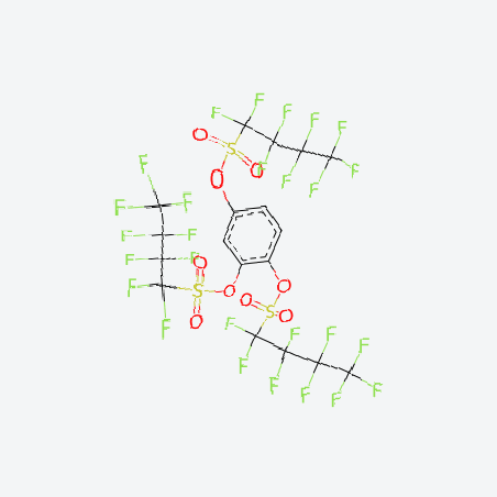 O=S(=O)(Oc1ccc(OS(=O)(=O)C(F)(F)C(F)(F)C(F)(F)C(F)(F)F)c(OS(=O)(=O)C(F)(F)C(F)(F)C(F)(F)C(F)(F)F)c1)C(F)(F)C(F)(F)C(F)(F)C(F)(F)F